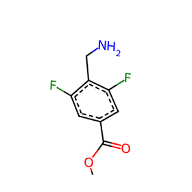 COC(=O)c1cc(F)c(CN)c(F)c1